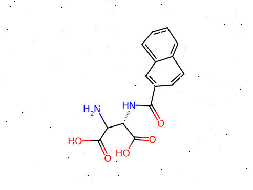 NC(C(=O)O)[C@H](NC(=O)c1ccc2ccccc2c1)C(=O)O